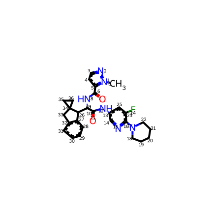 Cn1nccc1C(=O)N[C@H](C(=O)Nc1cnc(N2CCCCC2)c(F)c1)C1c2ccccc2CC12CC2